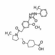 COc1cc(CC(=O)N2[C@H](COC3CCC(C(=O)O)CC3)CC[C@@H]2C)ccc1NC(=O)Nc1ccccc1C